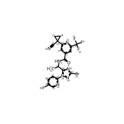 CC(NC(=O)c1cc(C(F)(F)F)nc(C2(C#N)CC2)c1)c1nc(Br)nn1-c1ccc(F)cn1